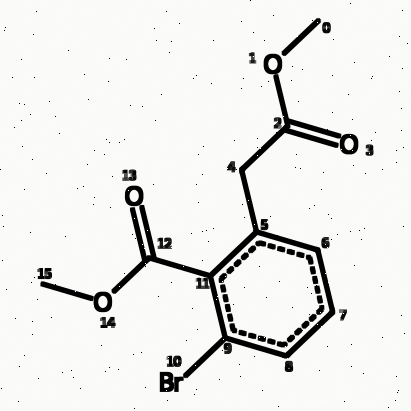 COC(=O)Cc1cccc(Br)c1C(=O)OC